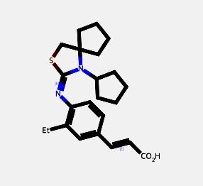 CCc1cc(/C=C/C(=O)O)ccc1/N=C1/SCC2(CCCC2)N1C1CCCC1